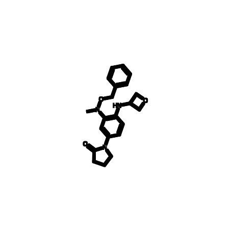 CN(OCc1ccccc1)c1cc(N2CCCC2=O)ccc1NC1COC1